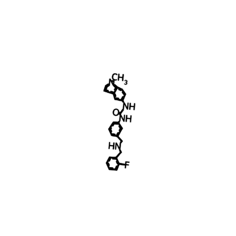 Cn1ccc2cc(NC(=O)Nc3cccc(CNCc4ccccc4F)c3)ccc21